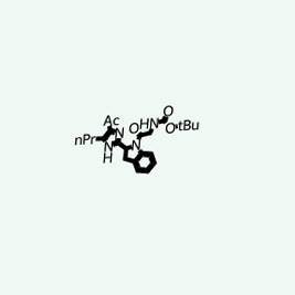 CCCc1[nH]c(C2Cc3ccccc3N2C(=O)CNC(=O)OC(C)(C)C)nc1C(C)=O